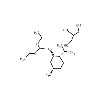 CC(C)[C@@H]1CC[C@@H](C)CC1=O.CCOC(C)OCC.OCC(O)CO